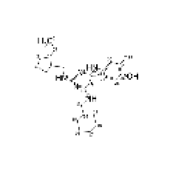 CCC1CCCC1CNc1nc(NCC2CCCCC2)nc(Nc2ccc(O)c(F)c2)n1